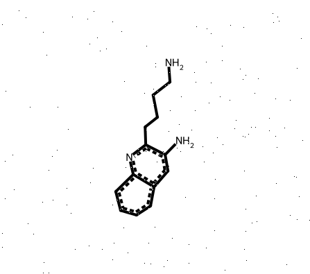 NCCCCc1nc2ccccc2cc1N